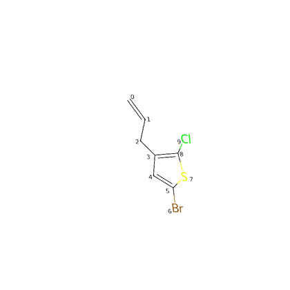 C=CCc1cc(Br)sc1Cl